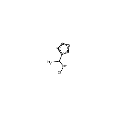 CCN[C](C)c1cscn1